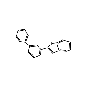 c1ccc(-c2cccc(-c3cc4ccccc4s3)c2)cc1